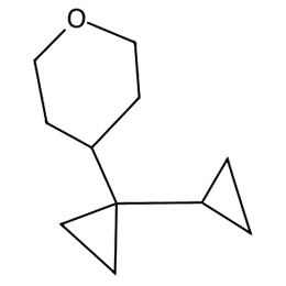 C1CC(C2(C3CC3)CC2)CCO1